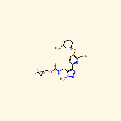 Cc1nc(-c2nnn(C)c2CNC(=O)OC[C@H]2CC2(F)F)ccc1O[C@H]1CCC[C@H](C)C1